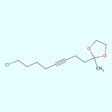 CC1(CCC#CCCCCCl)OCCO1